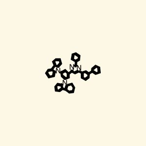 C1=Cc2c(n(-c3cc(-c4cc(-c5cccc(-c6ccccc6)c5)nc(-c5ccccc5)n4)cc(-n4c5ccccc5c5ccccc54)c3)c3ccccc23)CC1